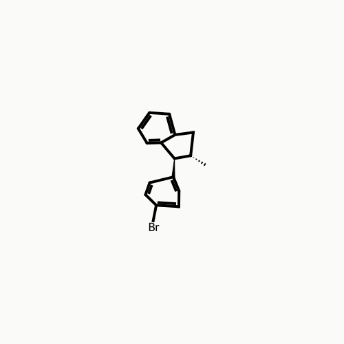 C[C@H]1Cc2ccccc2[C@@H]1c1ccc(Br)cc1